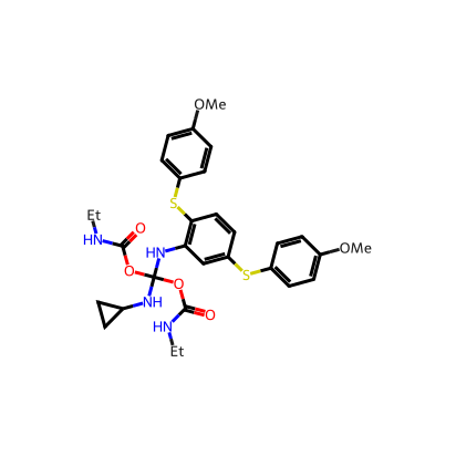 CCNC(=O)OC(Nc1cc(Sc2ccc(OC)cc2)ccc1Sc1ccc(OC)cc1)(NC1CC1)OC(=O)NCC